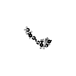 COc1cc(N2CCN(CCC3CCN(c4cc5c(cc4F)C(=O)N(C4CCC(=O)NC4=O)C5=O)CC3)CC2)c(-c2cnn(C)c2)cc1Nc1ncc(Br)c(Nc2ccc(C)cc2P(=O)(OC)OC)n1